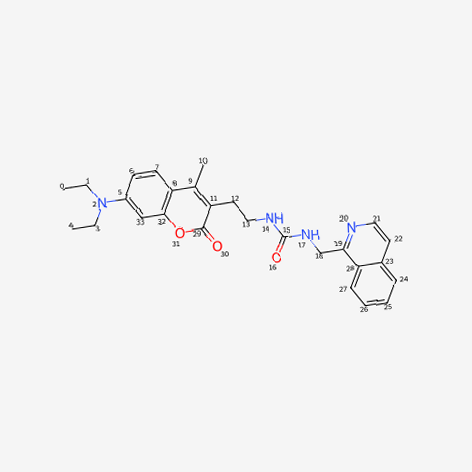 CCN(CC)c1ccc2c(C)c(CCNC(=O)NCc3nccc4ccccc34)c(=O)oc2c1